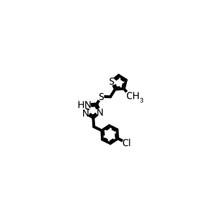 Cc1ccsc1CSc1nc(Cc2ccc(Cl)cc2)n[nH]1